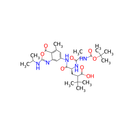 Cc1cc(NC(=O)[C@H](CC(C(=O)O)C(C)(C)C)NC(=O)[C@H](C)NC(=O)OC(C)(C)C)cc2nc(NC(C)C)oc(=O)c12